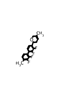 CC1=CCC(c2ccc(-c3ccc(C)c(F)c3F)c(F)c2F)OC1